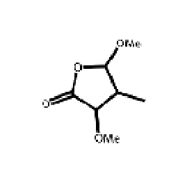 COC1OC(=O)C(OC)C1C